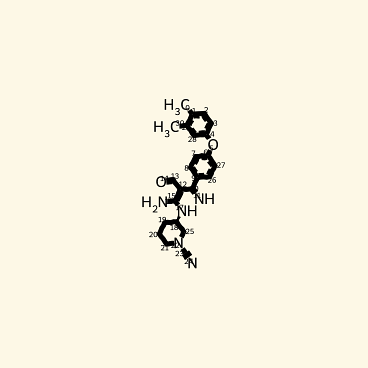 Cc1ccc(Oc2ccc(C(=N)/C(C=O)=C(/N)N[C@@H]3CCCN(C#N)C3)cc2)cc1C